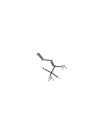 C=CC=C(C(F)(F)F)C(F)(F)C(F)(F)F